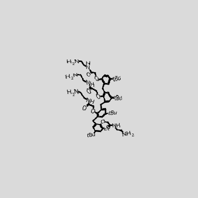 CCc1cc(C(C)(C)C)cc(Cc2cc(C(C)(C)C)cc(Cc3cc(C(C)(C)C)cc(Cc4cc(C(C)(C)C)ccc4OCC(=O)NCCN)c3OCC(=O)NCCN)c2OCC(=O)NCCN)c1OCC(=O)NCCN